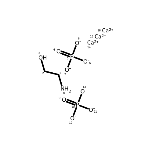 NCCO.O=P([O-])([O-])[O-].O=P([O-])([O-])[O-].[Ca+2].[Ca+2].[Ca+2]